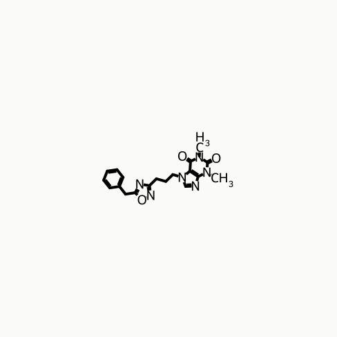 Cn1c(=O)c2c(ncn2CCCc2noc(Cc3ccccc3)n2)n(C)c1=O